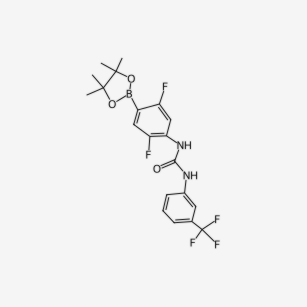 CC1(C)OB(c2cc(F)c(NC(=O)Nc3cccc(C(F)(F)F)c3)cc2F)OC1(C)C